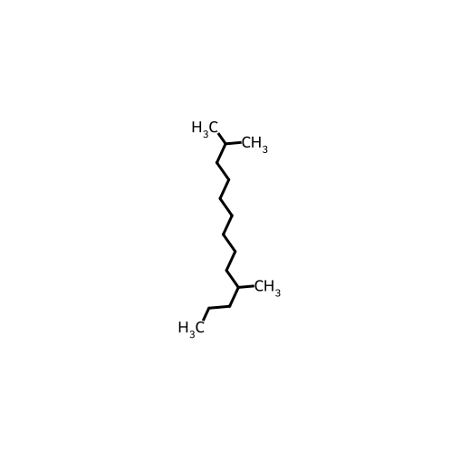 CCCC(C)CCCCCCCC(C)C